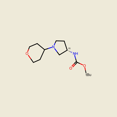 CC(C)(C)OC(=O)N[C@H]1CCN(C2CCOCC2)C1